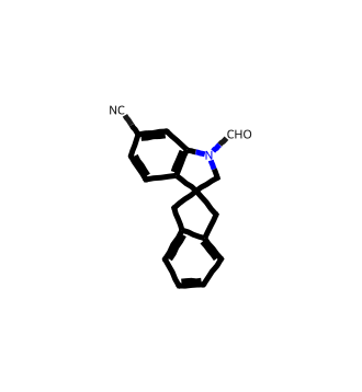 N#Cc1ccc2c(c1)N(C=O)CC21Cc2ccccc2C1